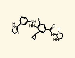 O=C(N=C1NCCN1)c1cc(F)c(NNc2cccc(C3=NCCN3)c2)c(C2CC2)c1